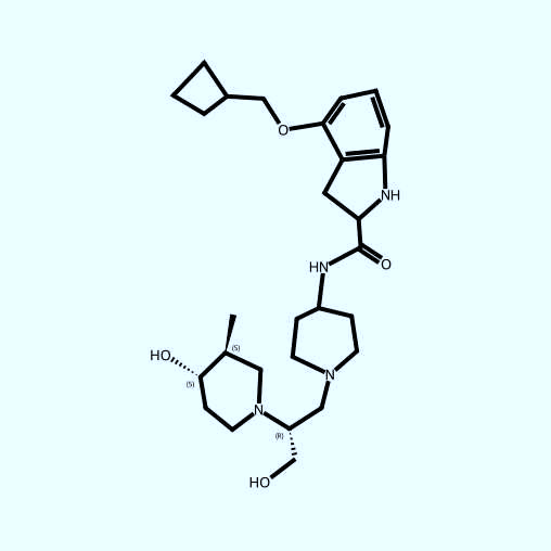 C[C@H]1CN([C@@H](CO)CN2CCC(NC(=O)C3Cc4c(cccc4OCC4CCC4)N3)CC2)CC[C@@H]1O